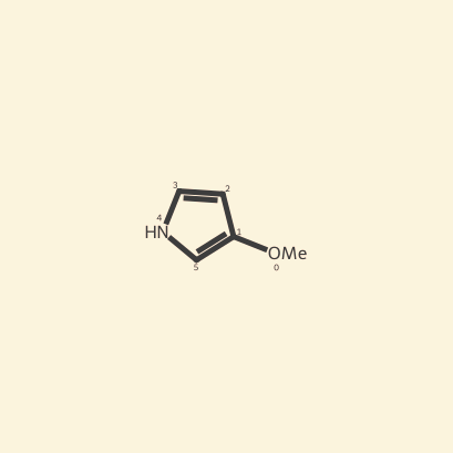 COc1cc[nH]c1